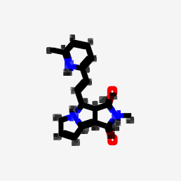 Cc1cccc(C=CC2C3C(=O)N(C)C(=O)C3=C3C=CCN32)n1